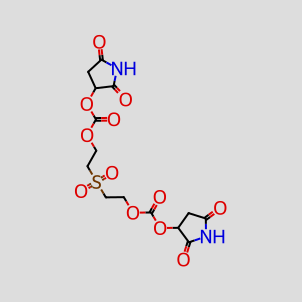 O=C1CC(OC(=O)OCCS(=O)(=O)CCOC(=O)OC2CC(=O)NC2=O)C(=O)N1